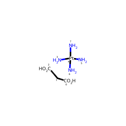 O=C(O)CC(=O)O.[NH2][Pt]([NH2])([NH2])[NH2]